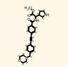 COC(=O)C(NC(=O)c1ccc(C#Cc2ccc(CN3CCOCC3)cc2)cc1)C1CCNC1